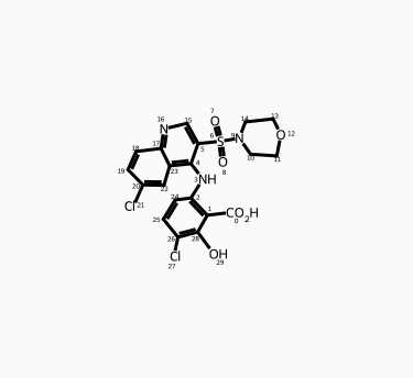 O=C(O)c1c(Nc2c(S(=O)(=O)N3CCOCC3)cnc3ccc(Cl)cc23)ccc(Cl)c1O